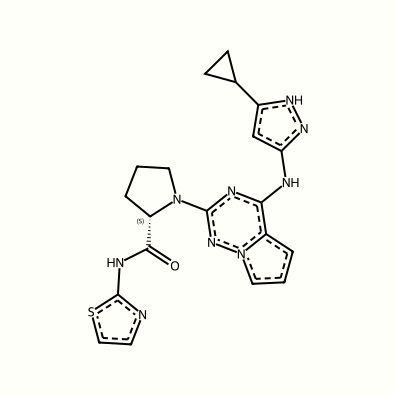 O=C(Nc1nccs1)[C@@H]1CCCN1c1nc(Nc2cc(C3CC3)[nH]n2)c2cccn2n1